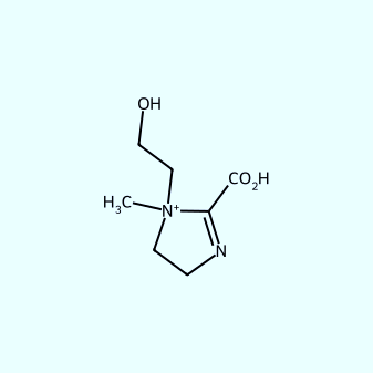 C[N+]1(CCO)CCN=C1C(=O)O